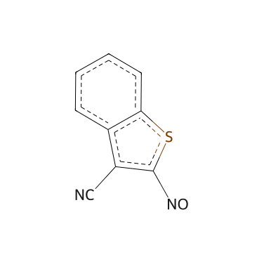 N#Cc1c(N=O)sc2ccccc12